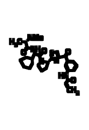 C=CC(=O)Nc1cccc(C(=O)c2csc([C@@H]3CCCN3C(=O)[C@@H](NC(=O)[C@H](C)NC)C3CCCCC3)n2)c1